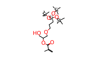 C=C(C)C(=O)OC(CO)COCCC[Si](O[Si](C)(C)C)(O[Si](C)(C)C)O[Si](C)(C)C